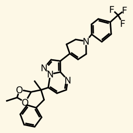 CC1OC(C(C)(Cc2ccccc2)c2ccnc3c(C4=CCN(c5ccc(C(F)(F)F)cc5)CC4)cnn23)O1